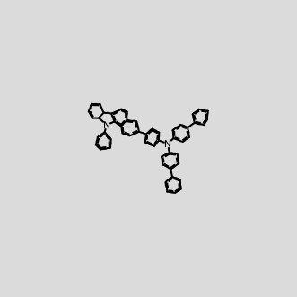 C1=CC2c3ccc4cc(-c5ccc(N(c6ccc(-c7ccccc7)cc6)c6ccc(-c7ccccc7)cc6)cc5)ccc4c3N(c3ccccc3)C2C=C1